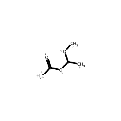 [CH2]C(=O)OC(C)OC